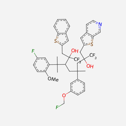 COc1ccc(F)cc1C(C)(C)C(CC(C)(CC(O)(Cc1cc2ccncc2s1)C(F)(F)F)c1cccc(OCF)c1)C(O)(Cc1cc2ccccc2s1)C(F)(F)F